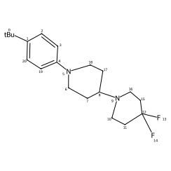 CC(C)(C)c1ccc(N2CCC(N3CCC(F)(F)CC3)CC2)cc1